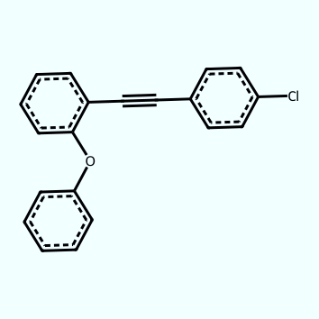 Clc1ccc(C#Cc2ccccc2Oc2ccccc2)cc1